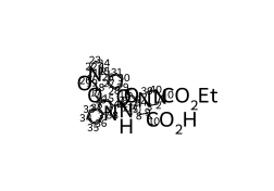 CCOC(=O)N1CCN(C(=O)[C@H](CCC(=O)O)NC(=O)c2cc(OCC(=O)N3CCC[C@@H]3c3ccccc3)c3ccccc3n2)CC1